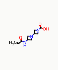 C=CC(=O)NC1CN(C2CN(C(=O)O)C2)C1